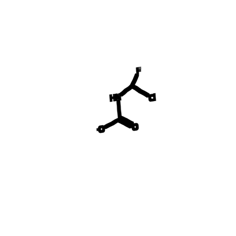 [O]C(=O)NC(F)Cl